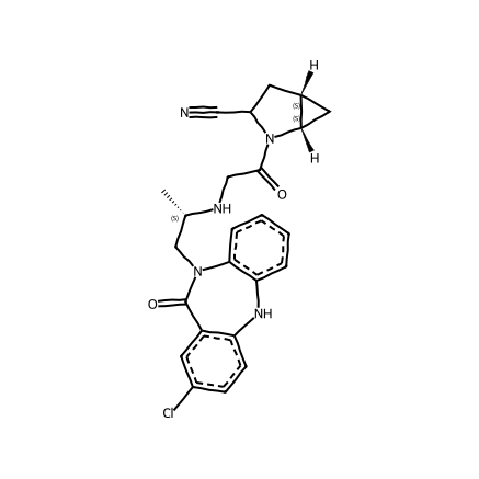 C[C@@H](CN1C(=O)c2cc(Cl)ccc2Nc2ccccc21)NCC(=O)N1C(C#N)C[C@@H]2C[C@@H]21